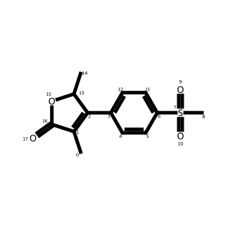 CC1=C(c2ccc(S(C)(=O)=O)cc2)C(C)OC1=O